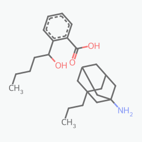 CCCC12CC3CC(CC(N)(C3)C1)C2.CCCCC(O)c1ccccc1C(=O)O